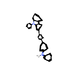 CN(c1ccccc1)c1ccc(-c2ccc(-c3ccc4c5ccccc5n(-c5ccccc5)c4c3)cc2)cc1